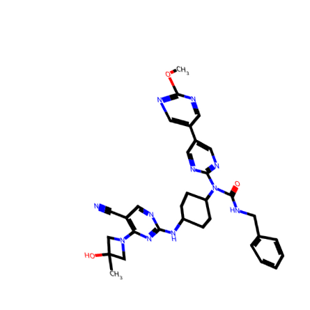 COc1ncc(-c2cnc(N(C(=O)NCc3ccccc3)C3CCC(Nc4ncc(C#N)c(N5CC(C)(O)C5)n4)CC3)nc2)cn1